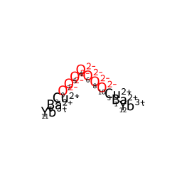 [Ba+2].[Ba+2].[Cu+2].[Cu+2].[O-2].[O-2].[O-2].[O-2].[O-2].[O-2].[O-2].[Yb+3].[Yb+3]